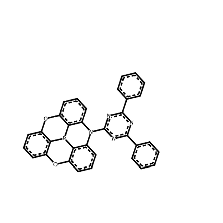 c1ccc(-c2nc(-c3ccccc3)nc(N3c4cccc5c4B4c6c(cccc6Oc6cccc3c64)O5)n2)cc1